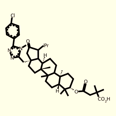 CC(C)C1C(=O)C[C@]2(Cc3nnc(-c4ccc(Cl)cc4)n3C)CC[C@]3(C)[C@H](CCC4C3(C)CC[C@H]3C(C)(C)[C@@H](OC(=O)CC(C)(C)C(=O)O)CC[C@]43C)C12